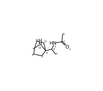 CC(=O)NC(C)C12CCC(CC1)N2